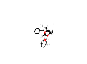 O=C(O)c1cc(F)c2nc(N3[C@@H]4CC[C@H]3C[C@@H](OC(=O)c3c(-c5c(Cl)cccc5Cl)noc3C3(F)CC3)C4)sc2c1